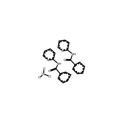 O=C(Nc1ccccn1)c1ccccc1.O=C(Nc1ccccn1)c1ccccc1.[Cl][Ta]([Cl])[Cl]